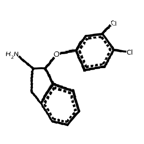 NC1Cc2ccccc2C1Oc1ccc(Cl)c(Cl)c1